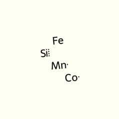 [Co].[Fe].[Mn].[Si]